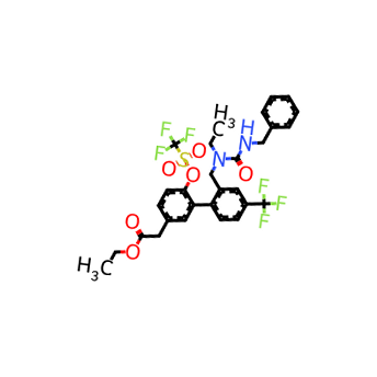 CCOC(=O)Cc1ccc(OS(=O)(=O)C(F)(F)F)c(-c2ccc(C(F)(F)F)cc2CN(CC)C(=O)NCc2ccccc2)c1